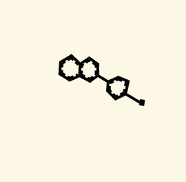 C#Cc1ccc(-c2ccc3ccccc3c2)cc1